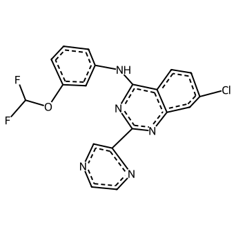 FC(F)Oc1cccc(Nc2nc(-c3cnccn3)nc3cc(Cl)ccc23)c1